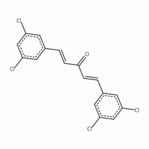 O=C(C=Cc1cc(Cl)cc(Cl)c1)C=Cc1cc(Cl)cc(Cl)c1